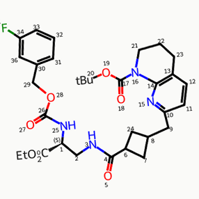 CCOC(=O)[C@H](CNC(=O)C1CC(Cc2ccc3c(n2)N(C(=O)OC(C)(C)C)CCC3)C1)NC(=O)OCc1cccc(F)c1